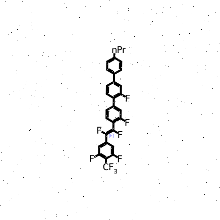 CCCc1ccc(-c2ccc(-c3ccc(/C(F)=C(\F)c4cc(F)c(C(F)(F)F)c(F)c4)c(F)c3)c(F)c2)cc1